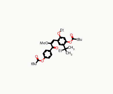 CCOc1cc(OC(=O)C(C)(C)C)c(C(C)(C)CC)cc1C=C(OC)C(=O)c1ccc(OC(=O)C(C)(C)C)cc1